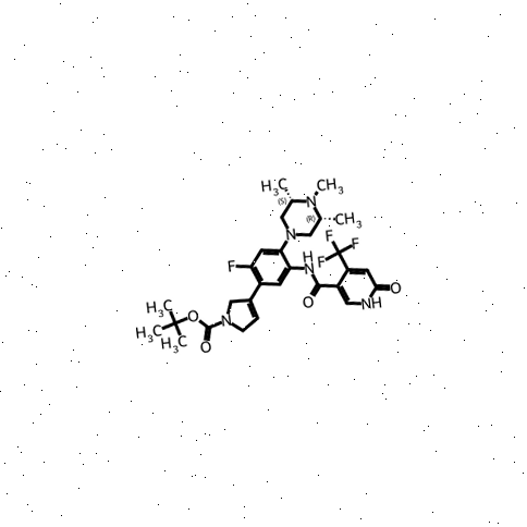 C[C@@H]1CN(c2cc(F)c(C3=CCN(C(=O)OC(C)(C)C)C3)cc2NC(=O)c2c[nH]c(=O)cc2C(F)(F)F)C[C@H](C)N1C